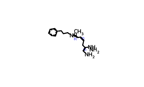 C/C(=C\C=C/C/C(=C/N)NN)NCCCc1ccccc1